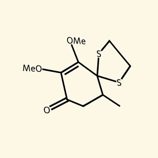 COC1=C(OC)C2(SCCS2)C(C)CC1=O